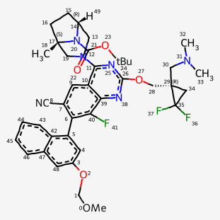 COCOc1cc(-c2c(C#N)cc3c(N4C[C@H]5CC[C@@](C)(C4)N5C(=O)OC(C)(C)C)nc(OC[C@]4(CN(C)C)CC4(F)F)nc3c2F)c2ccccc2c1